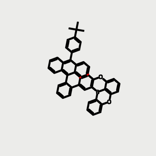 CC(C)(C)c1ccc(-c2c3ccccc3c(-c3ccccc3-c3ccc4c(c3)B3c5ccccc5Oc5cccc(c53)O4)c3ccccc23)cc1